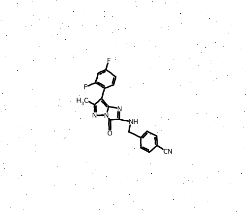 Cc1nn2c(c1-c1ccc(F)cc1F)N=C(NCc1ccc(C#N)cc1)C2=O